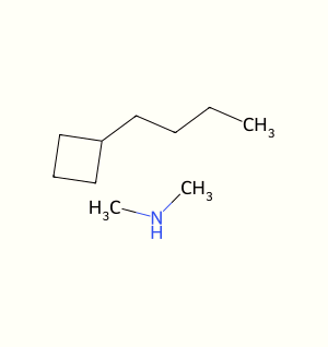 CCCCC1CCC1.CNC